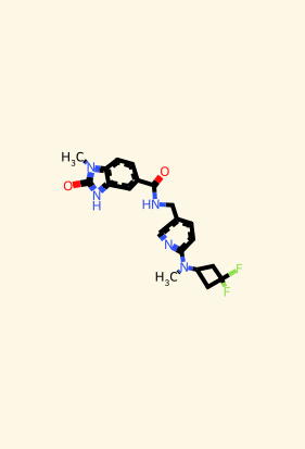 CN(c1ccc(CNC(=O)c2ccc3c(c2)[nH]c(=O)n3C)cn1)C1CC(F)(F)C1